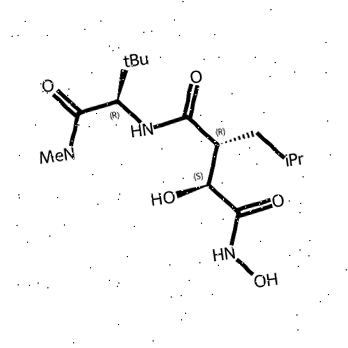 CNC(=O)[C@H](NC(=O)[C@H](CC(C)C)[C@H](O)C(=O)NO)C(C)(C)C